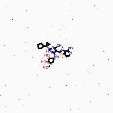 CCCc1nccc2sc(-c3c(C)nc(NC4(C5CCCC5)CC4)nc3N[C@@H]3C[C@H](CO)[C@@H](O)[C@H]3O)nc12